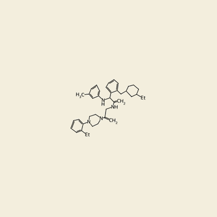 C=C(NCC(=C)N1CCN(c2ccccc2CC)CC1)C(Nc1cccc(C)c1)c1ccccc1CC1CCCC(CC)C1